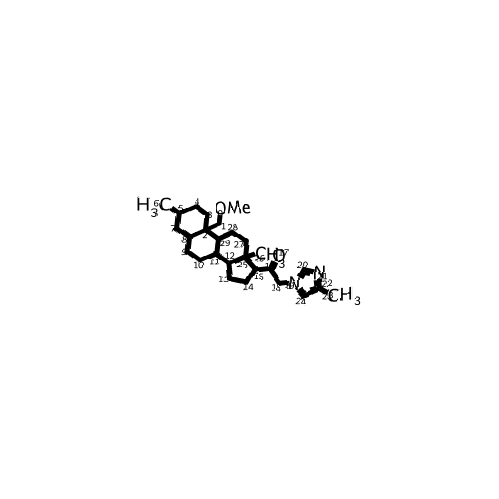 COCC12CCC(C)CC1CCC1C3CCC(C(=O)Cn4cnc(C)c4)C3(C)CCC12